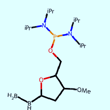 BBC1CC(OC)C(COP(N(C(C)C)C(C)C)N(C(C)C)C(C)C)O1